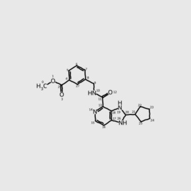 COC(=O)c1cccc(CNC(=O)c2nccc3c2NC(C2CCCC2)N3)c1